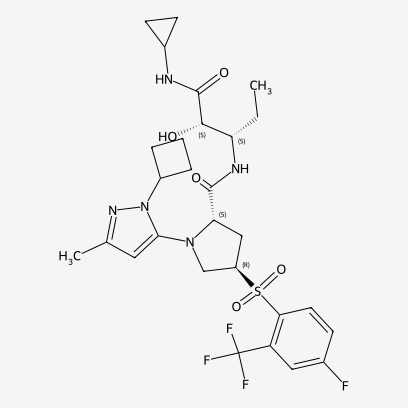 CC[C@H](NC(=O)[C@@H]1C[C@@H](S(=O)(=O)c2ccc(F)cc2C(F)(F)F)CN1c1cc(C)nn1C1CCC1)[C@H](O)C(=O)NC1CC1